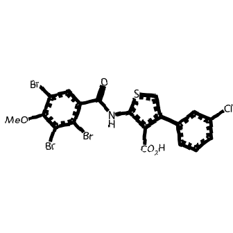 COc1c(Br)cc(C(=O)Nc2scc(-c3cccc(Cl)c3)c2C(=O)O)c(Br)c1Br